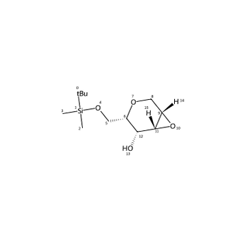 CC(C)(C)[Si](C)(C)OC[C@@H]1OC[C@@H]2O[C@@H]2[C@@H]1O